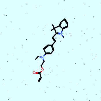 C=CC(=O)OCCN(CC)c1ccc(/C=C/C2=[N+](C)c3ccccc3C2(C)C)cc1